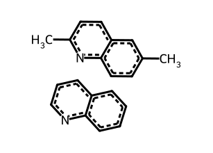 Cc1ccc2nc(C)ccc2c1.c1ccc2ncccc2c1